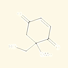 COC1(CO)CC(=O)C=CC1=O